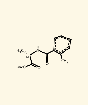 COC(=O)[C@H](C)NC(=O)c1ccccc1C